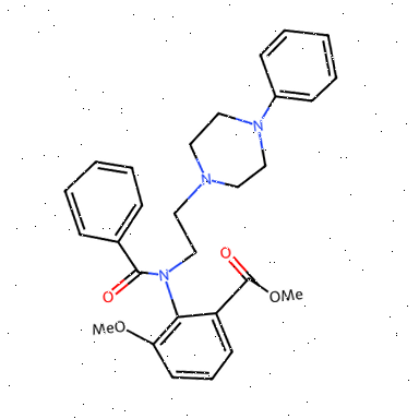 COC(=O)c1cccc(OC)c1N(CCN1CCN(c2ccccc2)CC1)C(=O)c1ccccc1